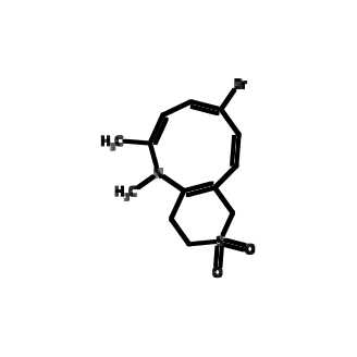 Cc1ccc(Br)ccc2c(n1C)CCS(=O)(=O)C2